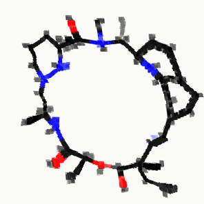 COC[C@@]1(C)/C=C/c2ccc3ccc(nc3c2)[C@@H](C)N(C)C(=O)[C@@H]2CCCN(C[C@H](C)NC(=O)[C@H](C(C)C)OC1=O)N2